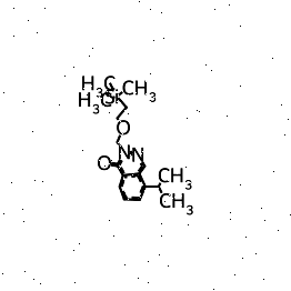 CC(C)c1cccc2c(=O)n(COCC[Si](C)(C)C)ncc12